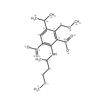 COCCC(C)Nc1c([N+](=O)[O-])cc(C(C)C)c(COC)c1[N+](=O)[O-]